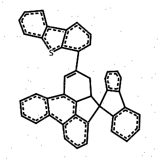 C1=C(c2cccc3c2sc2ccccc23)CC2c3c1c1ccccc1c1cccc(c31)C21c2ccccc2-c2ccccc21